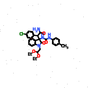 CCOC(CN1C(=O)C(NC(=O)Nc2ccc(C)cc2)(C(C(N)=O)c2ccc(Cl)cc2)c2ccccc21)OCC